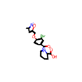 Cc1cc(COc2ccc(C(=O)N3CCCCC3C(=O)O)cc2Br)on1